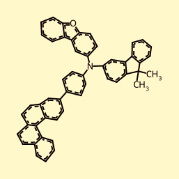 CC1(C)c2ccccc2-c2cc(N(c3ccc(-c4ccc5c(ccc6ccc7ccccc7c65)c4)cc3)c3ccc4oc5ccccc5c4c3)ccc21